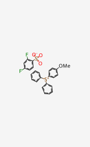 COc1ccc([S+](c2ccccc2)c2ccccc2)cc1.O=S(=O)([O-])c1ccc(F)cc1F